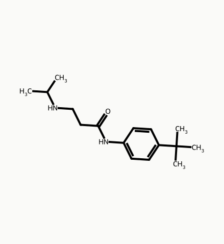 CC(C)NCCC(=O)Nc1ccc(C(C)(C)C)cc1